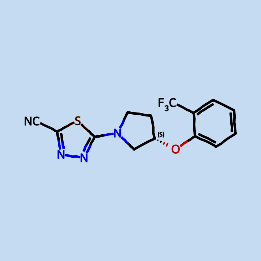 N#Cc1nnc(N2CC[C@H](Oc3ccccc3C(F)(F)F)C2)s1